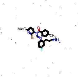 COc1ccc(N2CN(c3ccc(F)cc3CCCN)c3cc(C(F)(F)F)ccc3C2=O)c(Br)n1